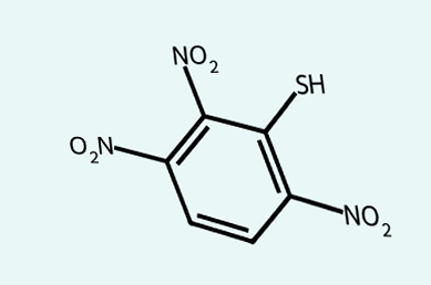 O=[N+]([O-])c1ccc([N+](=O)[O-])c([N+](=O)[O-])c1S